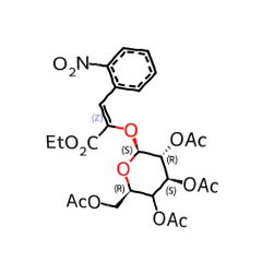 CCOC(=O)/C(=C/c1ccccc1[N+](=O)[O-])O[C@@H]1O[C@H](COC(C)=O)C(OC(C)=O)[C@H](OC(C)=O)[C@H]1OC(C)=O